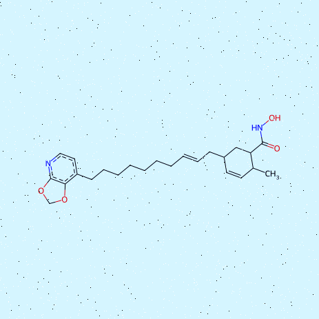 CC1C=CC(CC=CCCCCCCCc2ccnc3c2OCO3)CC1C(=O)NO